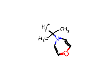 CC(C)(C)N1C=COC=C1